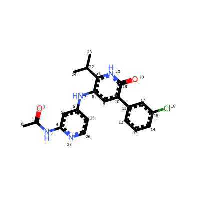 CC(=O)Nc1cc(Nc2cc(-c3cccc(Cl)c3)c(=O)[nH]c2C(C)C)ccn1